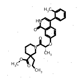 CCCC1(C(=O)OC)CCCN(C(=O)[C@@H](C)Oc2ccc3c(-c4ccccc4C)c[nH]c(=O)c3c2)C1